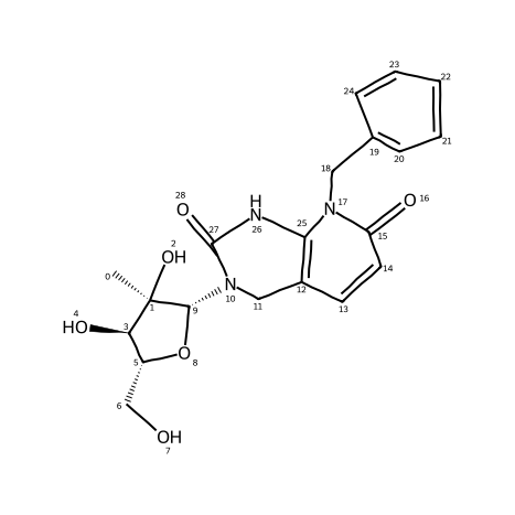 C[C@@]1(O)[C@H](O)[C@@H](CO)O[C@H]1N1Cc2ccc(=O)n(Cc3ccccc3)c2NC1=O